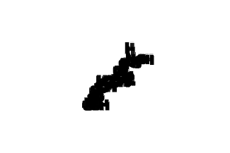 C=C(C)[C@@H]1CC[C@]2(CC(=O)N3CC[C@H](NC(=O)CO)C3)CC[C@]3(C)[C@H](CC[C@@H]4[C@@]5(C)CC[C@H](OC(=O)CC(C)(C)C(=O)O)C(C)(C)[C@@H]5CC[C@]43C)[C@@H]12